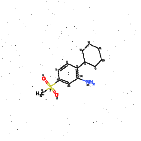 CS(=O)(=O)c1ccc(C2CCCCC2)c(N)c1